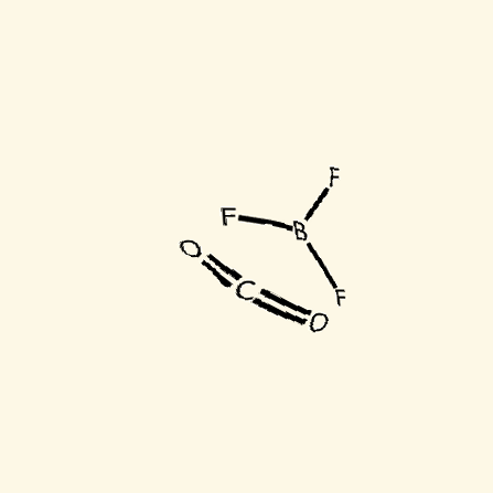 FB(F)F.O=C=O